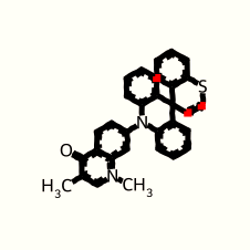 Cc1cn(C)c2cc(N3c4ccccc4C4(c5ccccc5Sc5ccccc54)c4ccccc43)ccc2c1=O